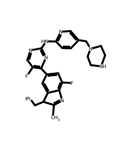 CC1=Nc2c(F)cc(-c3nc(Nc4ccc(CN5CCNCC5)cn4)ncc3F)cc2C1CC(C)C